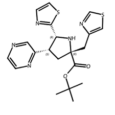 CC(C)(C)OC(=O)[C@]1(Cc2cscn2)C[C@H](c2cnccn2)[C@H](c2nccs2)N1